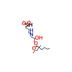 CCCCC(C)(CCC)C(=O)OCC(O)CNCCC[SiH](OC)OC